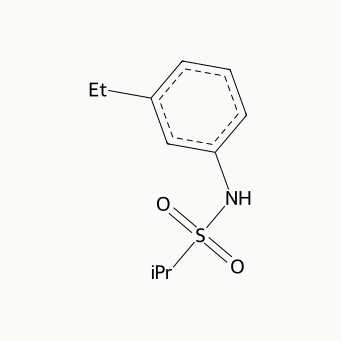 CCc1cccc(NS(=O)(=O)C(C)C)c1